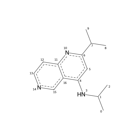 CC(C)Nc1cc(C(C)C)nc2ccncc12